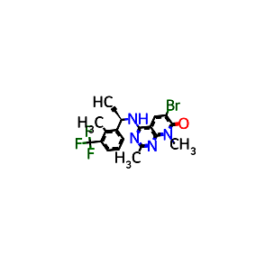 C#C[C@@H](Nc1nc(C)nc2c1cc(Br)c(=O)n2C)c1cccc(C(F)(F)F)c1C